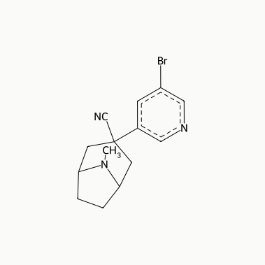 CN1C2CCC1CC(C#N)(c1cncc(Br)c1)C2